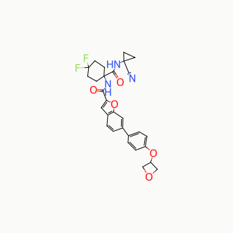 N#CC1(NC(=O)C2(NC(=O)c3cc4ccc(-c5ccc(OC6COC6)cc5)cc4o3)CCC(F)(F)CC2)CC1